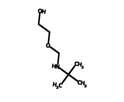 CC(C)(C)NCOCCO